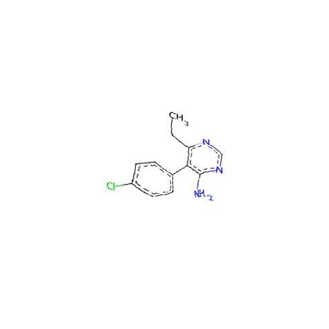 CCc1ncnc(N)c1-c1ccc(Cl)cc1